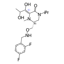 CC(O)/C(O)=C1/C(=O)N(C(C)C)C[C@H](CONCc2ccc(F)cc2F)N1C